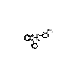 C[C@H](Nc1ccnc(N)n1)c1nc2ccccc2n1-c1ccccc1